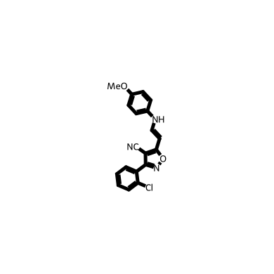 COc1ccc(NC=Cc2onc(-c3ccccc3Cl)c2C#N)cc1